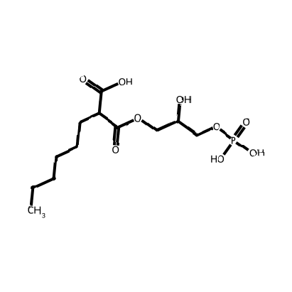 CCCCCCC(C(=O)O)C(=O)OCC(O)COP(=O)(O)O